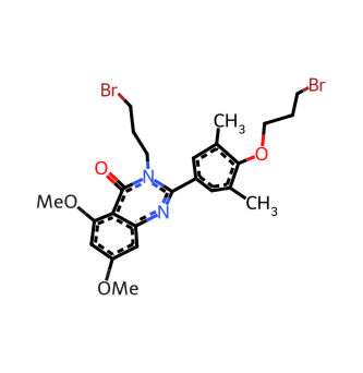 COc1cc(OC)c2c(=O)n(CCCBr)c(-c3cc(C)c(OCCCBr)c(C)c3)nc2c1